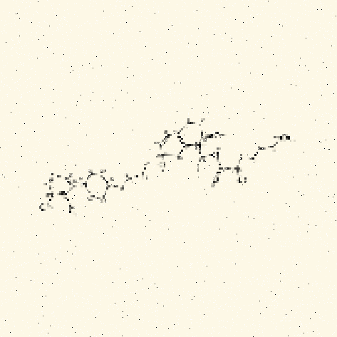 CCCCCCCCCCCCCCN(CC)C(=O)OC(C)N1C(=O)CCc2ccc(OCCCCN3CCN(c4cccc(Cl)c4Cl)CC3)cc21